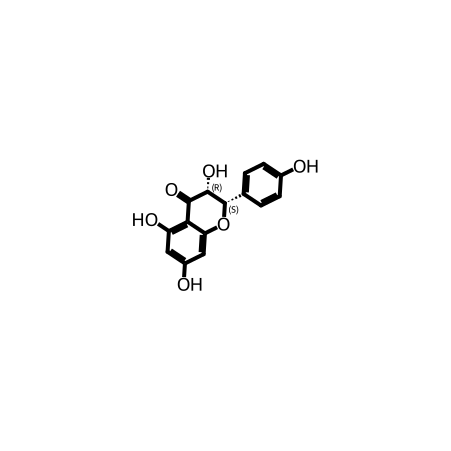 O=C1c2c(O)cc(O)cc2O[C@@H](c2ccc(O)cc2)[C@H]1O